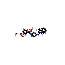 Cc1cc(NC2CCC(NC(=O)c3cccc(OC(F)(F)F)c3)CC2)nc2ccccc12